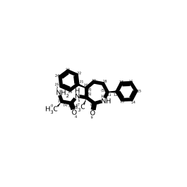 C[C@H](N)C(=O)N[C@]1(C)C(=O)N[C@H](c2ccccc2)CC[C@@H]1c1ccccc1